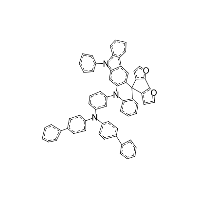 c1ccc(-c2ccc(N(c3ccc(-c4ccccc4)cc3)c3cccc(N4c5ccccc5C5(c6cc7c8ccccc8n(-c8ccccc8)c7cc64)c4ccoc4-c4occc45)c3)cc2)cc1